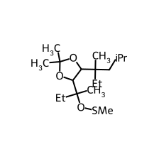 CCC(C)(CC(C)C)C1OC(C)(C)OC1C(C)(CC)OSC